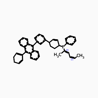 C/C=C\C=C(/C)P(c1ccccc1)C1C=CC(c2cccc(-c3c4ccccc4c(C4=CCCC=C4)c4ccccc34)c2)CC1